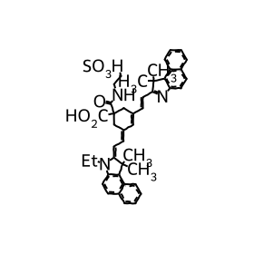 CCN1/C(=C/C=C2C=C(/C=C/C3=Nc4ccc5ccccc5c4C3(C)C)CC(C(=O)O)(C(=O)NCCS(=O)(=O)O)C/2)C(C)(C)c2c1ccc1ccccc21